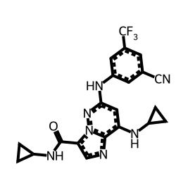 N#Cc1cc(Nc2cc(NC3CC3)c3ncc(C(=O)NC4CC4)n3n2)cc(C(F)(F)F)c1